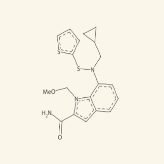 COCn1c(C(N)=O)cc2cccc(N(CC3CC3)Sc3cccs3)c21